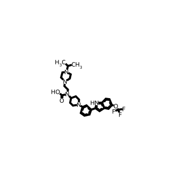 CC(C)N1CCN(CCN(C(=O)O)C2CCN(c3cccc(-c4cc5cc(OC(F)(F)F)ccc5[nH]4)c3)CC2)CC1